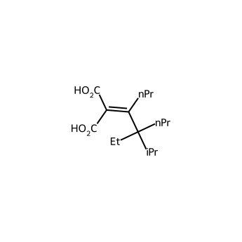 CCCC(=C(C(=O)O)C(=O)O)C(CC)(CCC)C(C)C